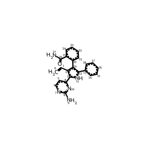 C=Cc1c(-c2ccnc(N)n2)[nH]c(-c2ccccc2)c1-c1ccccc1C(N)=O